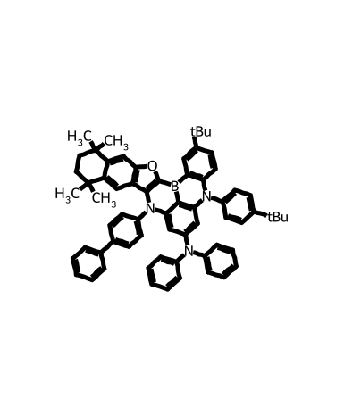 CC(C)(C)c1ccc(N2c3ccc(C(C)(C)C)cc3B3c4oc5cc6c(cc5c4N(c4ccc(-c5ccccc5)cc4)c4cc(N(c5ccccc5)c5ccccc5)cc2c43)C(C)(C)CCC6(C)C)cc1